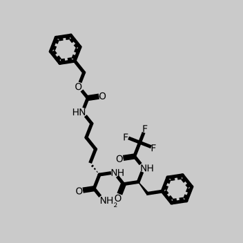 NC(=O)[C@H](CCCCNC(=O)OCc1ccccc1)NC(=O)[C@H](Cc1ccccc1)NC(=O)C(F)(F)F